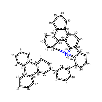 c1cc(-c2ccc3c4ccccc4c4ccccc4c3c2)cc(-c2cccc3c4ccc5c6ccccc6c6cccc7c6c5c4n7c23)c1